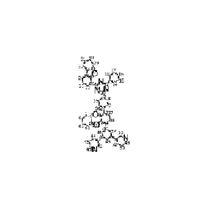 C1=CC2Oc3c(-c4ccc(-c5nc(-c6ccccc6)nc(-c6cccc7c6oc6ccccc67)n5)cc4)ccc(-c4cc(-c5cccnc5)cc(-c5cccnc5)c4)c3OC2C=C1